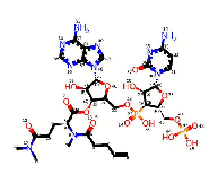 C=CCCC(=O)N(C)[C@@H](CCC(=O)N(C)C)C(=O)O[C@@H]1C(COP(=O)(O)[C@H]2[C@@H](O)[C@H](n3ccc(N)nc3=O)O[C@@H]2COP(=O)(O)O)O[C@@H](n2cnc3c(N)ncnc32)[C@@H]1O